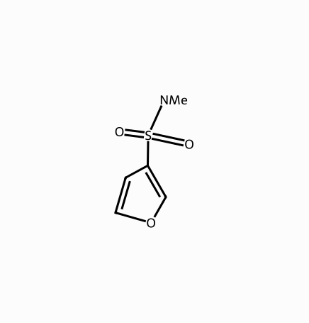 CNS(=O)(=O)c1ccoc1